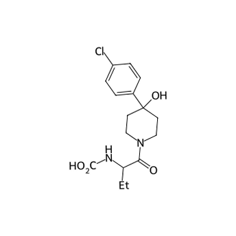 CCC(NC(=O)O)C(=O)N1CCC(O)(c2ccc(Cl)cc2)CC1